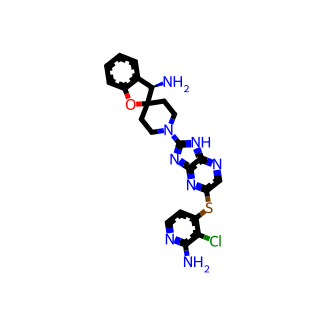 Nc1nccc(Sc2cnc3[nH]c(N4CCC5(CC4)Oc4ccccc4[C@H]5N)nc3n2)c1Cl